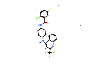 CN(c1cc(C(F)(F)F)nc2ccccc12)[C@H]1CC[C@@H](NC(=O)c2cc(F)ccc2F)CC1